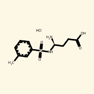 Cc1cccc(S(=O)(=O)N[C@@H](N)CCC(=O)O)c1.Cl